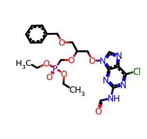 CCOP(=O)(COC(COCc1ccccc1)COn1cnc2c(Cl)nc(NC=O)nc21)OCC